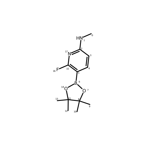 CNc1ccc(B2OC(C)(C)C(C)(C)O2)c(F)n1